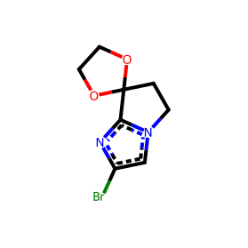 Brc1cn2c(n1)C1(CC2)OCCO1